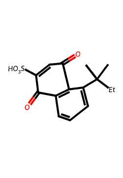 CCC(C)(C)c1cccc2c1C(=O)C=C(S(=O)(=O)O)C2=O